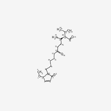 COC1C=CC(=O)N1CCCCCC(=O)CCC(N)[C@H](C=O)C(C)C